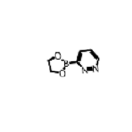 c1cnnc(B2OCCO2)c1